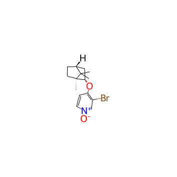 CC1(C)[C@@H]2CC[C@]1(C)[C@H](Oc1cc[n+]([O-])cc1Br)C2